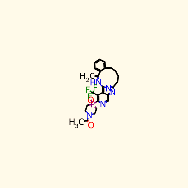 C=C1Nc2nc(nc3cnc(P4(=O)CCN(C(C)=O)CC4)c(C(F)(F)F)c23)CCCCc2ccccc21